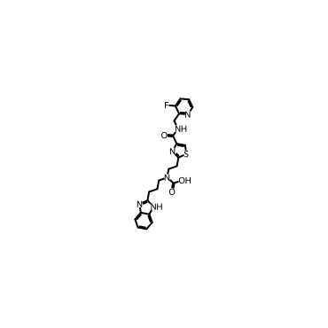 O=C(NCc1ncccc1F)c1csc(CCN(CCCc2nc3ccccc3[nH]2)C(=O)O)n1